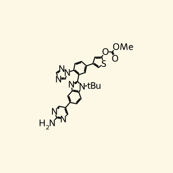 COC(=O)Oc1cc(-c2ccc(-n3cncn3)c(-c3nc4cc(-c5cnc(N)nc5)ccc4n3C(C)(C)C)c2)cs1